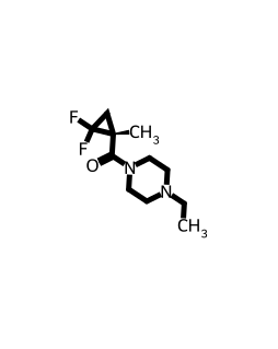 CCN1CCN(C(=O)[C@@]2(C)CC2(F)F)CC1